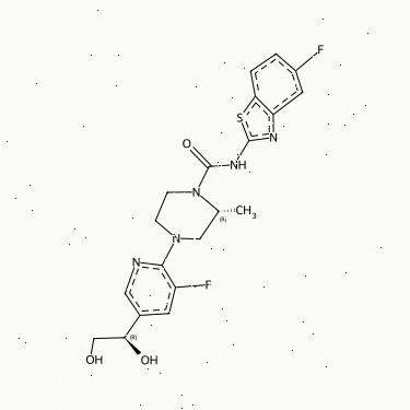 C[C@@H]1CN(c2ncc([C@@H](O)CO)cc2F)CCN1C(=O)Nc1nc2cc(F)ccc2s1